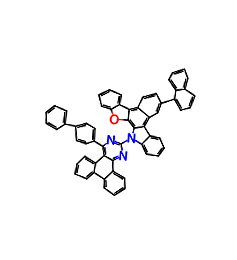 c1ccc(-c2ccc(-c3nc(-n4c5ccccc5c5c6cc(-c7cccc8ccccc78)ccc6c6c7ccccc7oc6c54)nc4c5ccccc5c5ccccc5c34)cc2)cc1